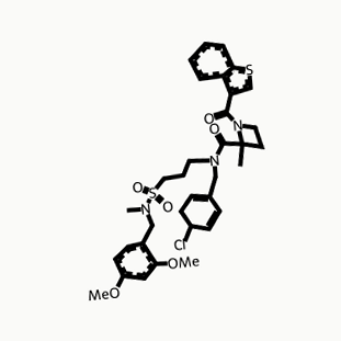 COc1ccc(CN(C)S(=O)(=O)CCCN(CC2=CCC(Cl)C=C2)C(=O)C2(C)CCN2C(=O)c2csc3ccccc23)c(OC)c1